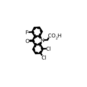 O=C(O)Cn1c2cccc(F)c2c(=O)c2ccc(Cl)c(Cl)c21